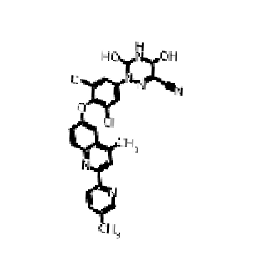 Cc1ccc(-c2cc(C)c3cc(Oc4c(Cl)cc(N5N=C(C#N)C(O)NC5O)cc4Cl)ccc3n2)nc1